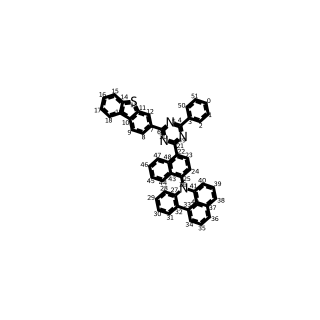 c1ccc(-c2nc(-c3ccc4c(c3)sc3ccccc34)nc(-c3ccc(N4c5ccccc5-c5cccc6cccc4c56)c4ccccc34)n2)cc1